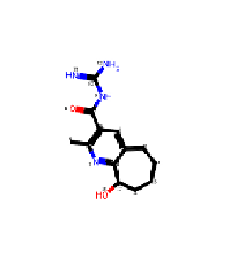 Cc1nc2c(cc1C(=O)NC(=N)N)CCCCC2O